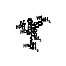 N=C(N)NCCC[C@H](NC(=O)[C@H](CC(=O)O)NC(=O)C(Cc1ccc(C(=N)N)cc1)C(=O)Nc1ccccc1)C(N)=O.O=C(O)C(F)(F)F